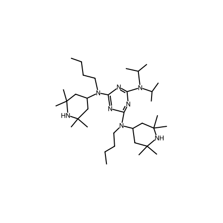 CCCCN(c1nc(N(CCCC)C2CC(C)(C)NC(C)(C)C2)nc(N(C(C)C)C(C)C)n1)C1CC(C)(C)NC(C)(C)C1